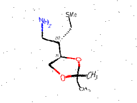 CSC[C@@H](CN)[C@@H]1COC(C)(C)O1